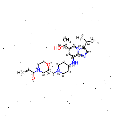 C=CC(=O)N1CCO[C@H](CN2CCC(Nc3cc([C@@H](C)O)cn4c(C(C)C)cnc34)CC2)C1